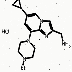 CCN1CCN(c2cc(C3CC3)cn3cc(CN)nc23)CC1.Cl